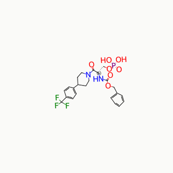 O=C(N[C@@H](COP(=O)(O)O)C(=O)N1CCC(c2ccc(C(F)(F)F)cc2)CC1)OCc1ccccc1